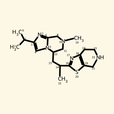 CC(C)c1cn2c(n1)CN(C)CC2CC(C)c1nc2c(s1)CNCC2